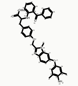 COC(=O)C(Cc1ccc(OCc2nc3ccc(Oc4cc(C)c(N)c(C)c4)cc3n2C)cc1)Nc1ccccc1C(=O)c1ccccc1